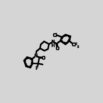 CC1(F)C(=O)N(CC2CCC(NC(=O)c3cc(C(F)(F)F)ccc3Cl)CC2)c2ccccc21